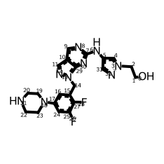 OCCn1cc(Nc2ncc3cnn(Cc4cc(N5CCNCC5)cc(F)c4F)c3n2)cn1